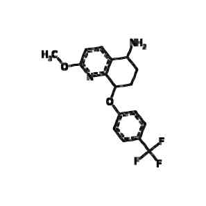 COc1ccc2c(n1)C(Oc1ccc(C(F)(F)F)cc1)CCC2N